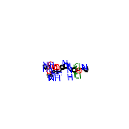 CN[C@@H](C)C(=O)N[C@H](C(=O)NC(=O)[C@@H]1CCCN1)C(C)(C)Cc1cc2c(Nc3cc(Cl)c(OCc4ccccn4)c(Cl)c3)ncnc2cc1OC